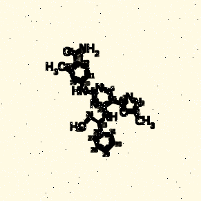 Cc1nnc(-c2cnc(Nc3ccc(C(N)=O)c(C)c3)nc2N[C@H](CO)c2ccccc2)o1